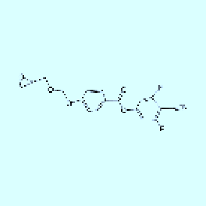 N#Cc1c(F)cc(OC(=O)c2ccc(OCOCC3CO3)cc2)cc1F